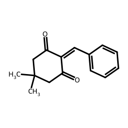 CC1(C)CC(=O)C(=Cc2ccccc2)C(=O)C1